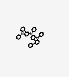 c1ccc(-c2cccc3c2c2ccc(N(c4ccccc4)c4ccc5c(c4)c4ccccc4n5-c4ccccc4)cc2n3-c2ccccc2)cc1